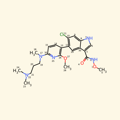 CONC(=O)c1c[nH]c2cc(Cl)c(-c3ccc(N(C)CCCN(C)C)nc3OC)cc12